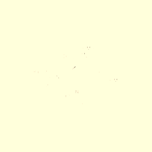 CCC(C[C@@H]1CN(C(=O)OC(C)(C)C)C[C@H]1CN(C(=O)c1ccc(OC)c(OCCCOC)c1)C(C)C)C(=O)O